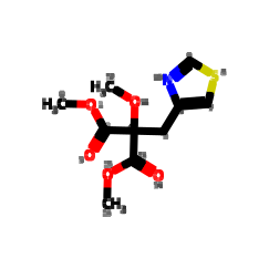 COC(=O)C(Cc1cscn1)(OC)C(=O)OC